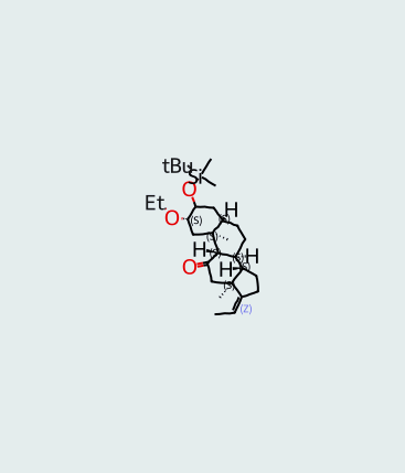 C/C=C1/CC[C@H]2[C@@H]3CC[C@H]4CC(O[Si](C)(C)C(C)(C)C)[C@@H](OCC)C[C@]4(C)[C@H]3C(=O)C[C@]12C